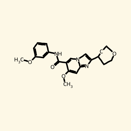 COc1cccc(NC(=O)c2cn3cc(C4CCOCC4)nc3cc2OC)c1